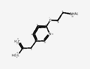 C=C(CC1=C=C=C(OCCNC(C)=O)N=C1)C(=O)O